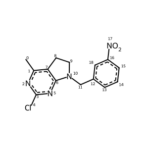 Cc1nc(Cl)nc2c1CCN2Cc1cccc([N+](=O)[O-])c1